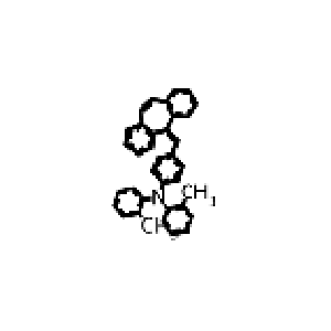 Cc1ccccc1N(c1ccc(C=C2c3ccccc3C=Cc3ccccc32)cc1)c1ccccc1C